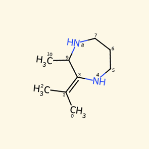 CC(C)=C1NCCCNC1C